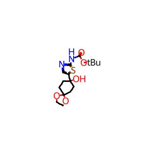 CC(C)(C)OC(=O)Nc1ncc(C2(O)CCC3(CC2)OCCO3)s1